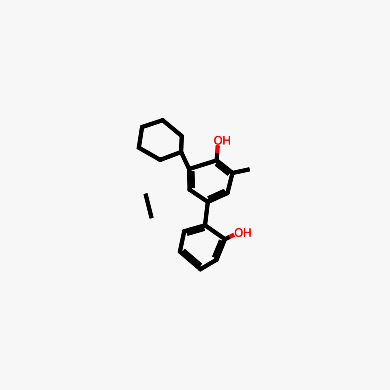 CC.Cc1cc(-c2ccccc2O)cc(C2CCCCC2)c1O